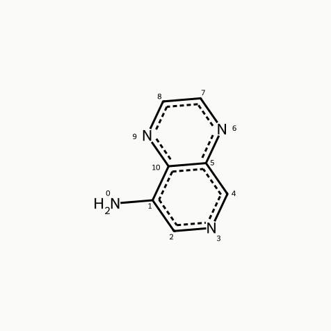 Nc1cncc2nccnc12